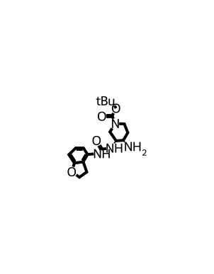 CC(C)(C)OC(=O)N1CC[C@H](N)[C@H](NC(=O)Nc2cccc3c2CCO3)C1